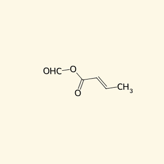 CC=CC(=O)OC=O